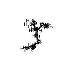 CCN[C@@H](CCCCNC(O)[C@H](CCCCNC(=O)CCCC1CCCCC(CCCCC(=O)N[C@@H](CCCCNC)C(=O)OCC)C1)NC(=O)CCCCCC1CCCCC(SC[C@@H](N)C(=O)O)C1)C(=O)OCC